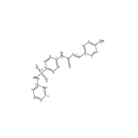 O=C(/C=C/c1ccc(O)cc1)Nc1ccc(S(=O)(=O)Nc2ccccn2)cc1